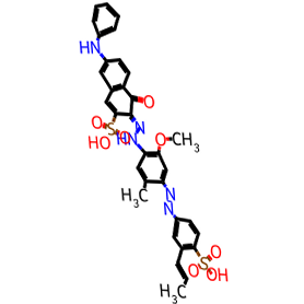 C/C=C/c1cc(/N=N/c2cc(OC)c(N/N=C3/C(=O)c4ccc(Nc5ccccc5)cc4C=C3S(=O)(=O)O)cc2C)ccc1S(=O)(=O)O